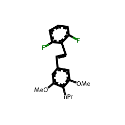 CCCc1c(OC)cc(/C=C/c2c(F)cccc2F)cc1OC